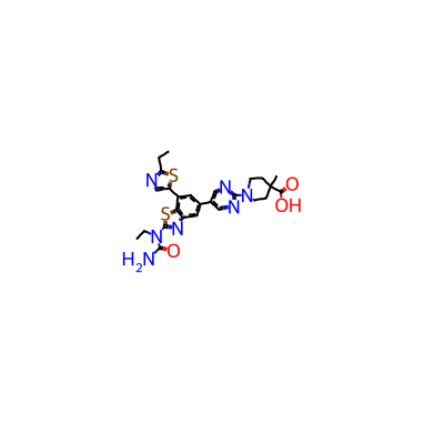 CCc1ncc(-c2cc(-c3cnc(N4CCC(C)(C(=O)O)CC4)nc3)cc3nc(N(CC)C(N)=O)sc23)s1